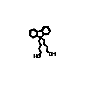 OCCCCC1(CCCCO)c2ccccc2-c2ccccc21